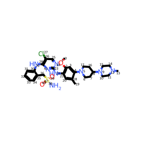 COc1cc(N2CCC(N3CCN(C)CC3)CC2)c(C)cc1Nc1ncc(Cl)c(Nc2ccccc2CS(N)(=O)=O)n1